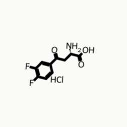 Cl.N[C@@H](CC(=O)c1ccc(F)c(F)c1)C(=O)O